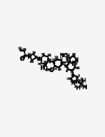 [2H]C([2H])([2H])n1cc(-c2cc(-c3ccc4c(c3)OC[C@@H]3CN(C5CN(C(=O)C=C)C5)CCN43)c3c(C#N)cnn3c2)cn1